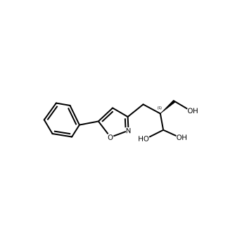 OC[C@H](Cc1cc(-c2ccccc2)on1)C(O)O